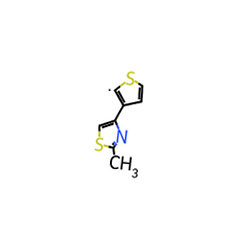 Cc1nc(-c2[c]scc2)cs1